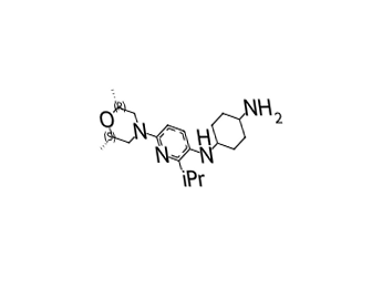 CC(C)c1nc(N2C[C@@H](C)O[C@@H](C)C2)ccc1NC1CCC(N)CC1